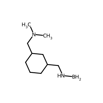 BNCC1CCCC(CN(C)C)C1